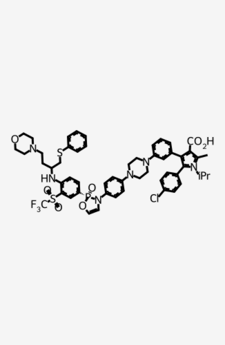 Cc1c(C(=O)O)c(-c2cccc(N3CCN(c4ccc(N5C=CO[P@]5(=O)c5ccc(NC(CCN6CCOCC6)CSc6ccccc6)c(S(=O)(=O)C(F)(F)F)c5)cc4)CC3)c2)c(-c2ccc(Cl)cc2)n1C(C)C